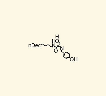 CCCCCCCCCCCCCCNC(=O)[C@H](CO)N=Cc1ccc(O)cc1